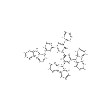 c1ccc(-c2cc(-c3cccc(-c4cccc5c4oc4ccccc45)c3)nc(-c3cc(-n4c5ccccc5c5ccccc54)cc(-n4c5ccccc5c5ccccc54)c3)n2)cc1